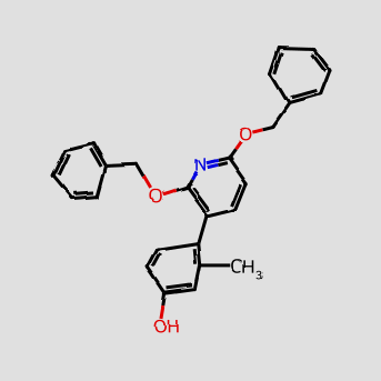 Cc1cc(O)ccc1-c1ccc(OCc2ccccc2)nc1OCc1ccccc1